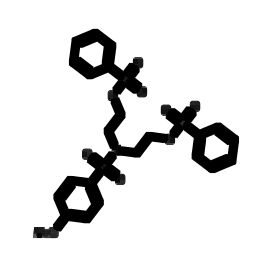 COc1ccc(S(=O)(=O)N(CCOS(=O)(=O)c2ccccc2)CCOS(=O)(=O)c2ccccc2)cc1